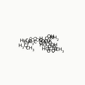 COc1cccc2c1C(=O)c1c(O)c3c(c(O)c1C2=O)C[C@](O)(C(=O)COC(=O)OC1CCC2(C)C(=CCC4C2CCC2(C)C(C(C)CCCC(C)C)CCC42)C1)C[C@H]3O[C@@H]1C[C@@H](N)[C@@H](O)[C@@H](C)O1